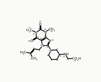 CC(C)=CCn1c(N2CCCC(NCC(=O)O)C2)nc2c1c(=O)n(C)c(=O)n2C